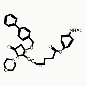 CC(=O)Nc1ccc(OC(=O)CC/C=C\CCC2[C@H](N3CCOCC3)C(=O)C[C@H]2OCc2ccc(-c3ccccc3)cc2)cc1